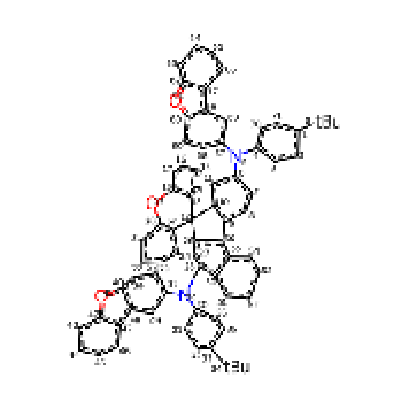 CC(C)(C)c1ccc(N(c2ccc3c(c2)C2(c4ccccc4Oc4ccccc42)c2cc(N(c4ccc(C(C)(C)C)cc4)c4ccc5oc6ccccc6c5c4)c4ccccc4c2-3)c2ccc3oc4ccccc4c3c2)cc1